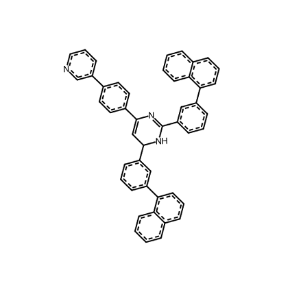 C1=C(c2ccc(-c3cccnc3)cc2)N=C(c2cccc(-c3cccc4ccccc34)c2)NC1c1cccc(-c2cccc3ccccc23)c1